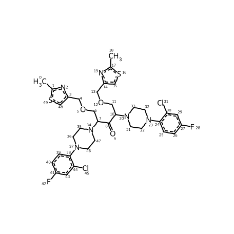 Cc1nc(COCC(C(=O)C(COCc2csc(C)n2)N2CCN(c3ccc(F)cc3Cl)CC2)N2CCN(c3ccc(F)cc3Cl)CC2)cs1